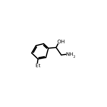 CCc1cccc(C(O)CN)c1